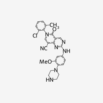 COc1cc(Nc2ncc3c(=O)n(-c4c(C)cccc4Cl)cc(C#N)c3n2)ccc1N1CCNCC1